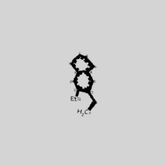 C=Cc1cc2ccccc2cc1CC